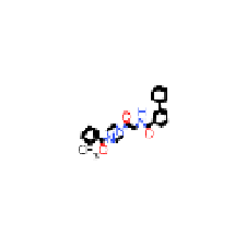 O=C(NCC(=O)N1CCN(C(=O)c2ccccc2C(F)(F)F)CC1)c1cccc(-c2ccccc2)c1